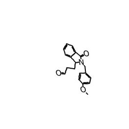 COc1ccc(CN2C(=O)c3ccccc3C2CCC=O)cc1